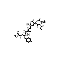 CCCN(C(=O)[C@@H](N=[N+]=[N-])C(C)CC)C(C[C@@H](O)c1nc(C(=O)N[C@@H](Cc2ccc(F)cc2)C[C@H](C)C(=O)OC)cs1)C(C)C